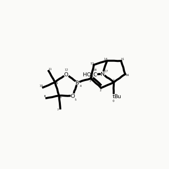 CC(C)(C)C12C=C(B3OC(C)(C)C(C)(C)O3)CC(CC1)N2C(=O)O